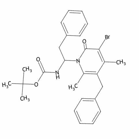 Cc1c(Cc2ccccc2)c(C)n(C(Cc2ccccc2)NC(=O)OC(C)(C)C)c(=O)c1Br